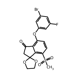 CS(=O)(=O)c1ccc(Oc2cc(F)cc(Br)c2)c2c1C1(CC2=O)OCCO1